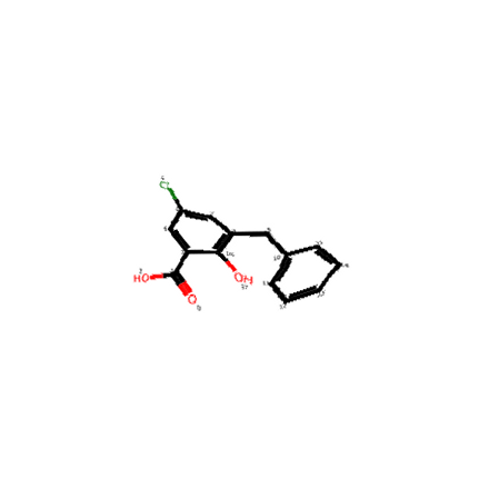 O=C(O)c1cc(Cl)cc(Cc2ccccc2)c1O